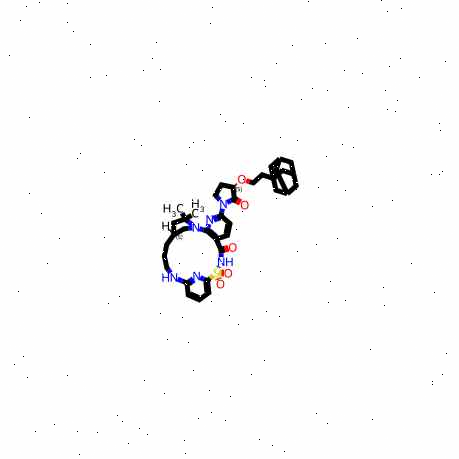 CC1(C)C[C@@H]2CCCNc3cccc(n3)S(=O)(=O)NC(=O)c3ccc(N4CC[C@H](OCCC56CC7CC(CC(C7)C5)C6)C4=O)nc3N1C2